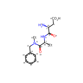 CC[C@H](NC(=O)[C@@H](N)CC(=O)O)C(=O)N(CC)Cc1ccccc1